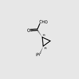 CC(C)[C@H]1C[C@H]1C(=O)C=O